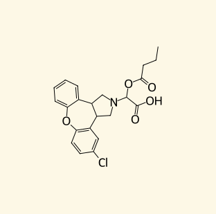 CCCC(=O)OC(C(=O)O)N1CC2c3ccccc3Oc3ccc(Cl)cc3C2C1